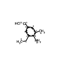 CCc1cc(Cl)cc(C)c1N.Cl